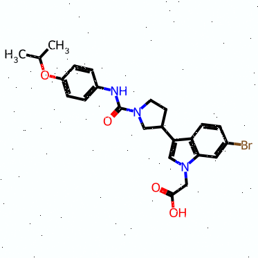 CC(C)Oc1ccc(NC(=O)N2CCC(c3cn(CC(=O)O)c4cc(Br)ccc34)C2)cc1